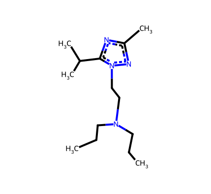 CCCN(CCC)CCn1nc(C)nc1C(C)C